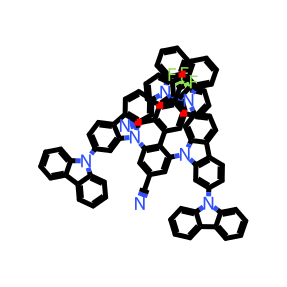 N#Cc1cc(-n2c3cc(-n4c5ccccc5c5ccccc54)ccc3c3ccc(-n4c5ccccc5c5ccccc54)cc32)c(-c2ccc(C(F)(F)F)cc2C#N)c(-n2c3cc(-n4c5ccccc5c5ccccc54)ccc3c3ccc(-n4c5ccccc5c5ccccc54)cc32)c1